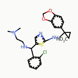 CN(C)CCNC(c1cnc(N)s1)c1ccccc1Cl.O=C(O)C1(c2ccc3c(c2)OCO3)CC1